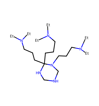 CCN(CC)CCCN1CNCNC1(CCCN(CC)CC)CCCN(CC)CC